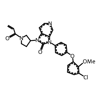 C=CC(=O)N1CCC(n2c(=O)n(-c3ccc(Oc4cccc(Cl)c4OC)cc3)c3cnccc32)C1